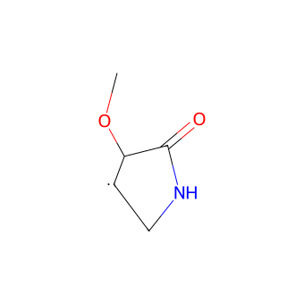 COC1[CH]CNC1=O